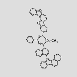 C[C@@H]1C2C(c3ccc(-n4c5ccccc5c5ccc6ccccc6c54)c4ccccc34)=NC(c3ccccc3)=NC(c3ccc4c(c3)oc3c4ccc4oc5ccccc5c43)C21